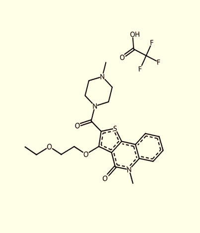 CCOCCOc1c(C(=O)N2CCN(C)CC2)sc2c1c(=O)n(C)c1ccccc21.O=C(O)C(F)(F)F